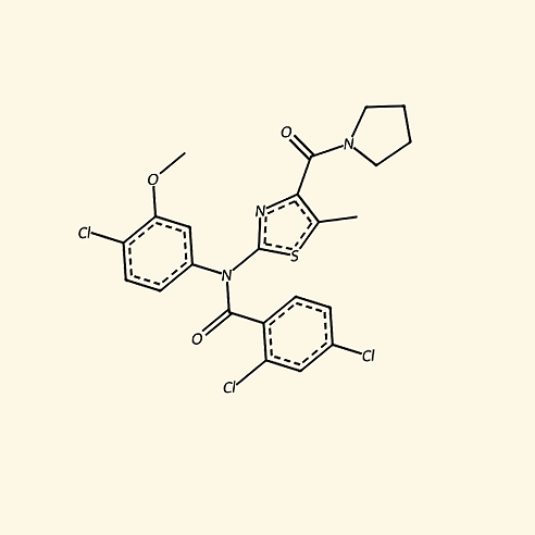 COc1cc(N(C(=O)c2ccc(Cl)cc2Cl)c2nc(C(=O)N3CCCC3)c(C)s2)ccc1Cl